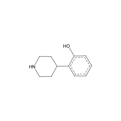 Oc1ccccc1C1CCNCC1